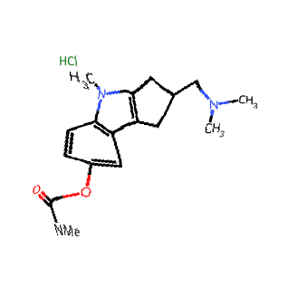 CNC(=O)Oc1ccc2c(c1)c1c(n2C)CC(CN(C)C)C1.Cl